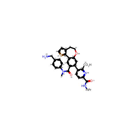 CCCNC(=O)c1ccc(-c2cc3c(cc2C(=O)N(C)c2ccc(CN)cc2)-c2sccc2CCO3)c(C(=O)O)n1